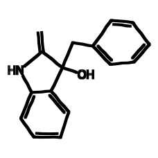 C=C1Nc2ccccc2C1(O)Cc1ccccc1